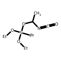 CCO[Si](OCC)(OC(C)N=C=O)C(C)C